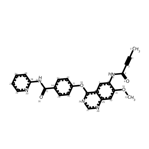 CC#CC(=O)Nc1cc2c(Oc3ccc(C(=O)Nc4ccccn4)cc3)ncnc2cc1OC